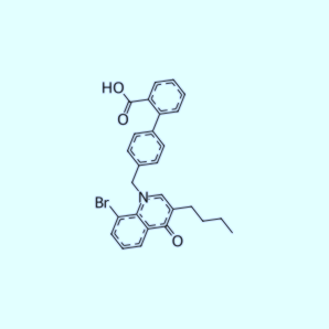 CCCCc1cn(Cc2ccc(-c3ccccc3C(=O)O)cc2)c2c(Br)cccc2c1=O